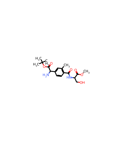 COC(=O)C(CO)NC(=O)c1ccc(C(N)C(=O)OC(C)(C)C)cc1C